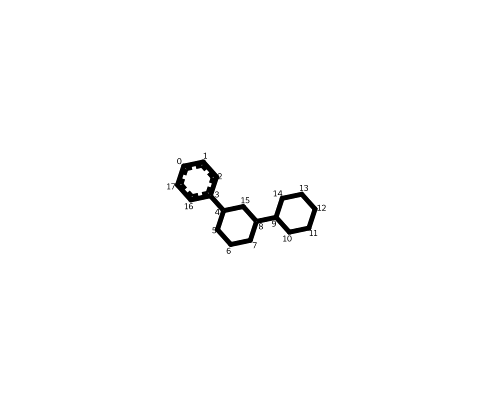 c1ccc(C2CCCC(C3CCCCC3)C2)cc1